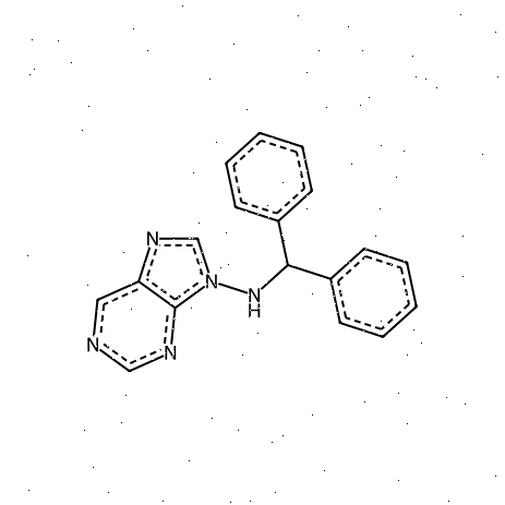 c1ccc(C(Nn2cnc3cncnc32)c2ccccc2)cc1